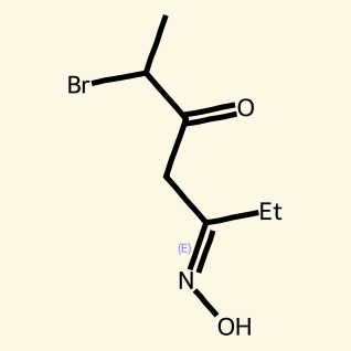 CC/C(CC(=O)C(C)Br)=N\O